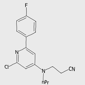 CCCN(CCC#N)c1cc(Cl)nc(-c2ccc(F)cc2)c1